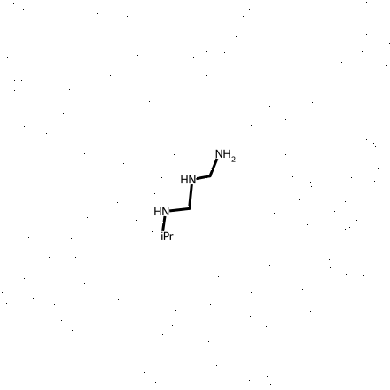 CC(C)NCNCN